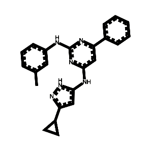 Cc1cccc(Nc2nc(Nc3cc(C4CC4)n[nH]3)cc(-c3ccccc3)n2)c1